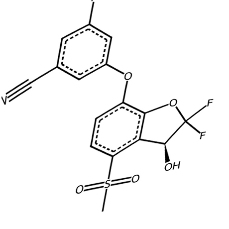 CS(=O)(=O)c1ccc(Oc2cc(F)cc(C#N)c2)c2c1[C@H](O)C(F)(F)O2